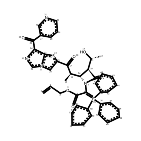 C=CCOC(=O)C(N1C(=O)[C@H]([C@@H](C)O)[C@H]1[C@@H](C)C(=O)c1cn2cnc(C(=O)c3cccnc3)c2s1)=P(c1ccccc1)(c1ccccc1)c1ccccc1